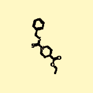 CCOC(=O)C1CCN(C(=S)SCc2ccccc2)CC1